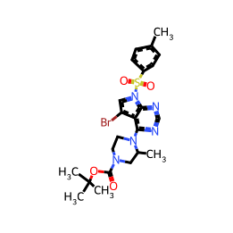 Cc1ccc(S(=O)(=O)n2cc(Br)c3c(N4CCN(C(=O)OC(C)(C)C)CC4C)ncnc32)cc1